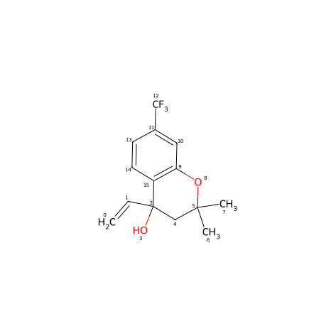 C=CC1(O)CC(C)(C)Oc2cc(C(F)(F)F)ccc21